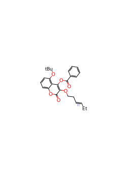 CC/C=C/CCOc1c(OC(=O)c2ccccc2)c2c(OC(C)(C)C)cccc2oc1=O